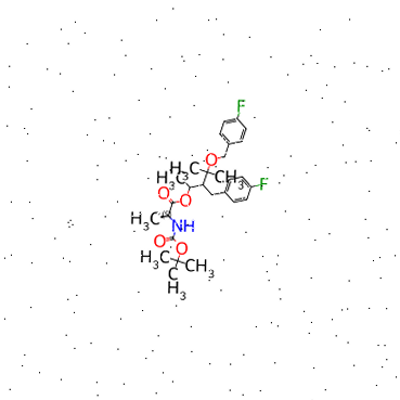 CC(OC(=O)[C@H](C)NC(=O)OC(C)(C)C)C(Cc1ccc(F)cc1)C(C)(C)OCc1ccc(F)cc1